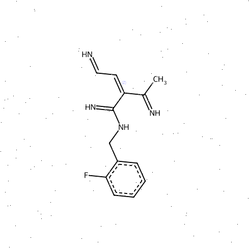 CC(=N)/C(=C/C=N)C(=N)NCc1ccccc1F